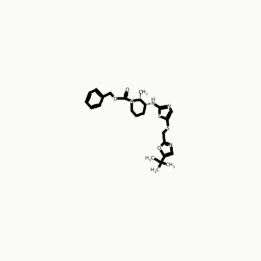 C[C@@H]1[C@H](Nc2ncc(SCc3ncc(C(C)(C)C)o3)s2)CCCN1C(=O)OCc1ccccc1